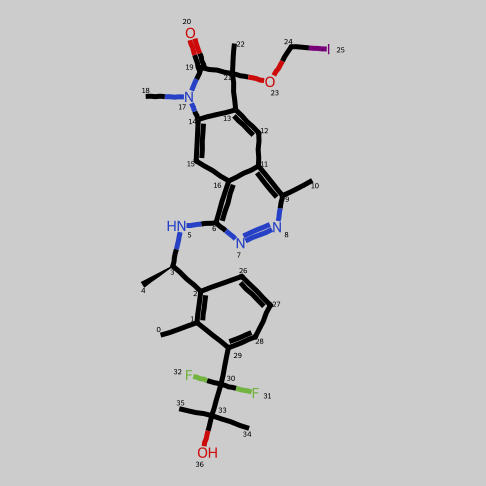 Cc1c([C@@H](C)Nc2nnc(C)c3cc4c(cc23)N(C)C(=O)C4(C)OCI)cccc1C(F)(F)C(C)(C)O